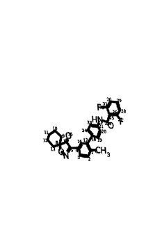 Cc1ccc(C2=NOC3(CCCCC3)C2=O)cc1-c1ccc(NC(=O)c2c(F)cccc2F)cc1